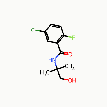 CC(C)(CO)NC(=O)c1cc(Cl)ccc1F